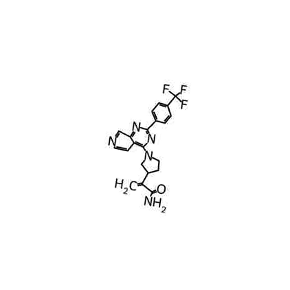 C=C(C(N)=O)C1CCN(c2nc(-c3ccc(C(F)(F)F)cc3)nc3cnccc23)C1